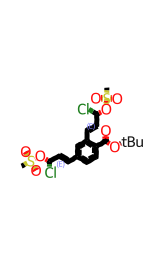 CC(C)(C)OC(=O)c1ccc(/C=C/C(Cl)OS(C)(=O)=O)cc1/C=C/C(Cl)OS(C)(=O)=O